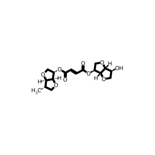 C[C@H]1CO[C@H]2[C@@H]1OC[C@@H]2OC(=O)/C=C/C(=O)O[C@H]1CO[C@H]2[C@@H]1OC[C@@H]2O